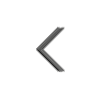 [NaH].[NaH].[NaH].[NaH].[NaH].[NaH].[NaH].[NaH].[NaH].[NaH].[NaH].[NaH].[NaH].[NaH].[NaH].[NaH].[NaH].[NaH].[NaH].[NaH].[NaH].[NaH].[NaH].[NaH].[NaH].[NaH].[NaH].[NaH].[NaH].[NaH].[NaH].[NaH].[NaH].[NaH].[NaH].[NaH].[NaH].[NaH].[NaH].[NaH].[NaH].[NaH].[NaH].[NaH].[NaH].[NaH].[NaH]